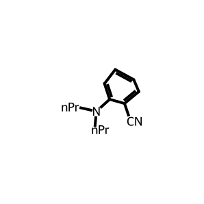 CCCN(CCC)c1ccccc1C#N